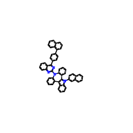 c1ccc2c(c1)-c1c(n(-c3ccc4ccccc4c3)c3ccccc13)-c1ccccc1N2c1nc(-c2ccc(-c3cccc4ccccc34)cc2)c2ccccc2n1